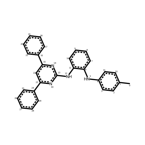 Cc1ccc(Nc2ccccc2Nc2nc(-c3ccccc3)cc(-c3ccccc3)n2)cc1